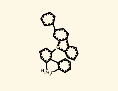 Cc1ccccc1-c1c(C)cccc1-n1c2ccccc2c2ccc(-c3ccccc3)cc21